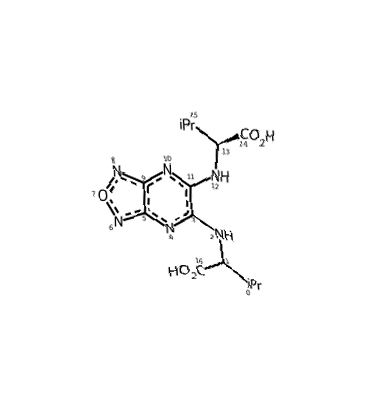 CC(C)C(Nc1nc2nonc2nc1N[C@H](C(=O)O)C(C)C)C(=O)O